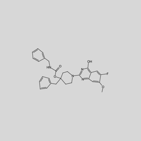 COc1cc2nc(N3CCC(Cc4ccccc4)(OC(=O)NCc4ccccc4)CC3)nc(O)c2cc1F